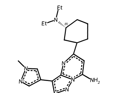 CCN(CC)[C@@H]1CCCC(c2cc(N)n3ncc(-c4cnn(C)c4)c3n2)C1